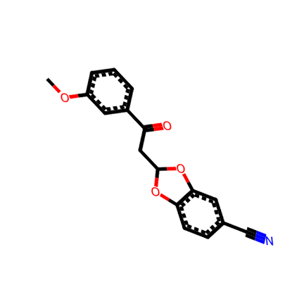 COc1cccc(C(=O)CC2Oc3ccc(C#N)cc3O2)c1